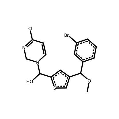 COC(c1cccc(Br)c1)c1csc(C(O)N2C=CC(Cl)=NC2)c1